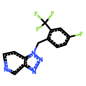 Fc1ccc(Cn2nnc3cnccc32)c(C(F)(F)F)c1